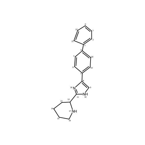 c1ccc(-c2ccc(-c3c[nH]c(C4CCCCN4)n3)cc2)cc1